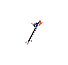 C=CC(=O)CCCCCCCCCCCCN1CC[N+](C)(CC(O)CS(=O)(=O)[O-])CC1